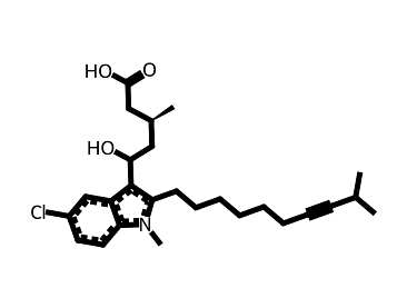 CC(C)C#CCCCCCCc1c(C(O)C[C@H](C)CC(=O)O)c2cc(Cl)ccc2n1C